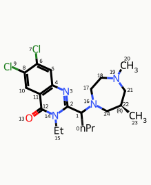 CCCC(c1nc2cc(Cl)c(Cl)cc2c(=O)n1CC)N1CCN(C)C[C@@H](C)C1